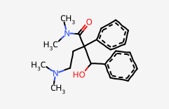 CN(C)CCC(C(=O)N(C)C)(c1ccccc1)C(O)c1ccccc1